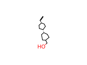 C=C[C@H]1CC[C@H](C2CCC(CO)CC2)CC1